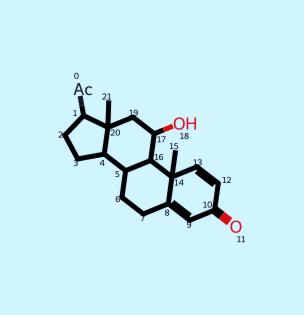 CC(=O)C1CCC2C3CCC4=CC(=O)C=CC4(C)C3C(O)CC12C